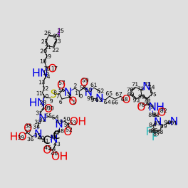 CC(CN1C(=O)CC(SCC(CCCCNC(=O)CCCc2ccc(I)cc2)NC(=O)CN2CCN(CC(=O)O)CCN(CC(=O)O)CCN(CC(=O)O)CC2)C1=O)C(=O)N1CCN(CCCCOc2ccc3nccc(C(=O)NCC(=O)N4CC(F)(F)C[C@@H]4C#N)c3c2)CC1